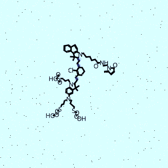 C=C1C=CC(=O)N1CCNC(=O)CCCCCN1/C(=C/C=C2\CCCC(/C=C/C3=[N+](CCCS(=O)(=O)O)c4ccc(N(CCCSOOO)CCCSOOO)cc4C3(C)C)=C2Cl)C(C)(C)c2c1ccc1ccccc21